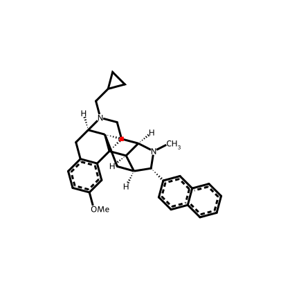 COc1ccc2c(c1)[C@@]13CCN(CC4CC4)[C@H](C2)[C@]12CC[C@@H]1[C@H]3[C@H](C2)[C@@H](c2ccc3ccccc3c2)N1C